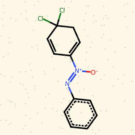 [O-][N+](=Nc1ccccc1)C1=CCC(Cl)(Cl)C=C1